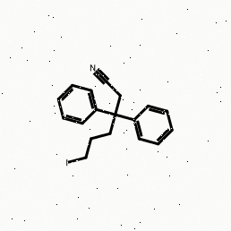 N#CCC(CCCI)(c1ccccc1)c1ccccc1